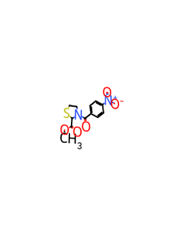 COC(=O)C1SCCN1C(=O)c1ccc([N+](=O)[O-])cc1